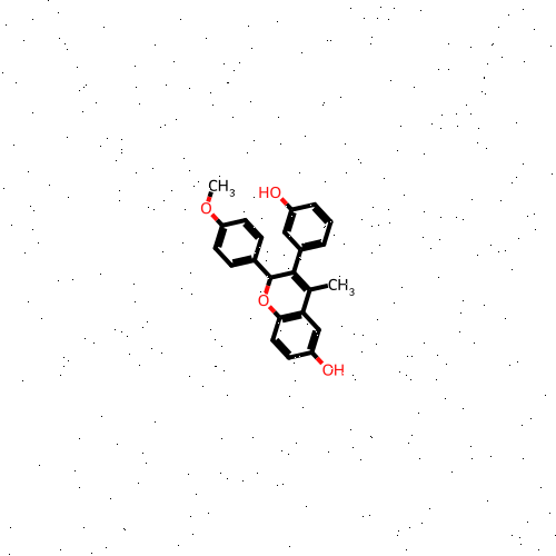 COc1ccc(C2Oc3ccc(O)cc3C(C)=C2c2cccc(O)c2)cc1